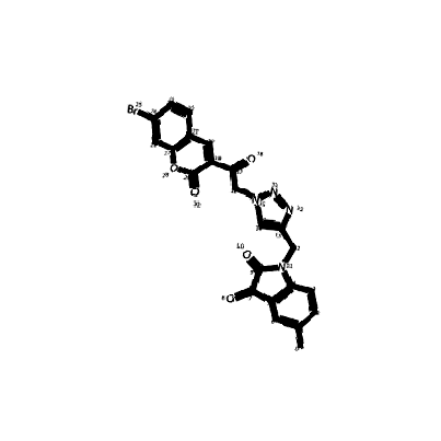 Cc1ccc2c(c1)C(=O)C(=O)N2Cc1cn(CC(=O)c2cc3ccc(Br)cc3oc2=O)nn1